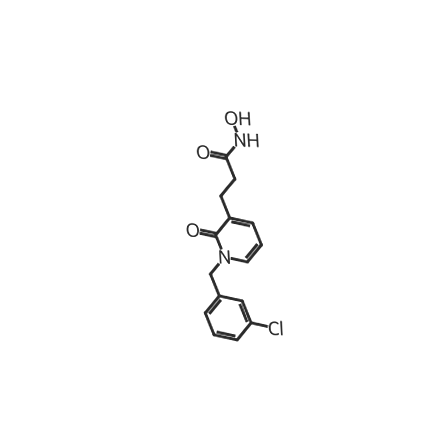 O=C(CCc1cccn(Cc2cccc(Cl)c2)c1=O)NO